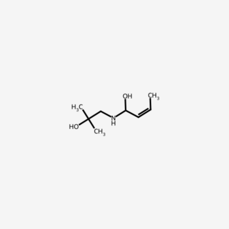 C/C=C\C(O)NCC(C)(C)O